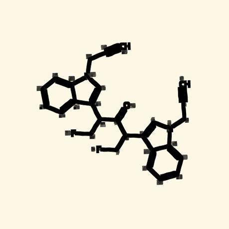 C#CCn1cc(C(CF)C(=O)C(CF)c2cn(CC#C)c3ccccc23)c2ccccc21